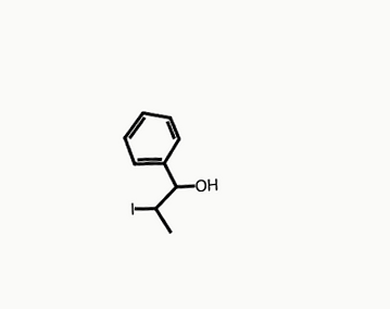 CC(I)C(O)c1ccccc1